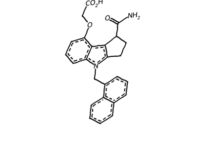 NC(=O)C1CCc2c1c1c(OCC(=O)O)cccc1n2Cc1cccc2ccccc12